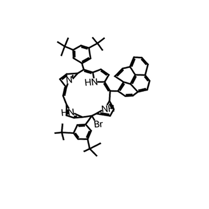 CC(C)(C)c1cc(/C2=c3\cc/c([nH]3)=C(\c3ccc4ccc5cccc6ccc3c4c56)c3ccc([nH]3)C(Br)(c3cc(C(C)(C)C)cc(C(C)(C)C)c3)c3ccc([nH]3)/C=C3/C=CC2=N3)cc(C(C)(C)C)c1